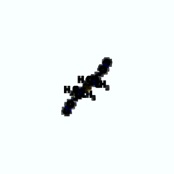 Cc1cc(/C=C/c2ccc(N3CCCC3)cc2)cc(C)[n+]1CCSSCC[n+]1c(C)cc(/C=C/c2ccc(N3CCCC3)cc2)cc1C